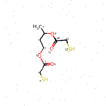 CC(CCOC(=O)CS)OC(=O)CS